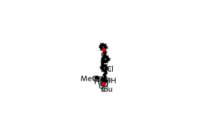 COCOCC(CO)(CCCc1ccc(Sc2cccc(OCc3ccccc3)c2)cc1Cl)NC(=O)OC(C)(C)C